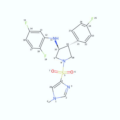 Cn1cnc(S(=O)(=O)N2C[C@@H](Nc3cc(F)ccc3F)[C@H](c3ccc(F)cc3)C2)c1